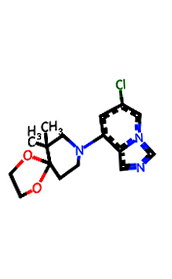 CC1(C)CN(c2cc(Cl)cn3cncc23)CCC12OCCO2